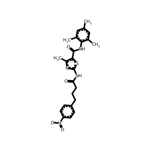 Cc1cc(C)c(NC(=O)c2sc(NC(=O)CCCc3ccc([N+](=O)[O-])cc3)nc2C)c(C)c1